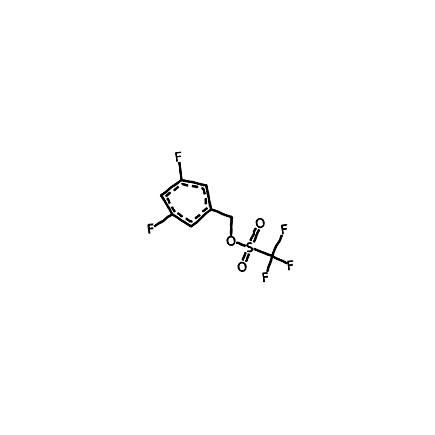 O=S(=O)(OCc1cc(F)cc(F)c1)C(F)(F)F